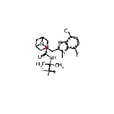 CC(C)(NC(=O)CN1C2CC1CN(Cc1nc3c(Cl)ccc(F)c3[nH]1)C2)C(F)(F)F